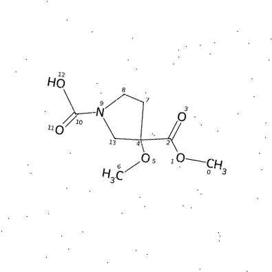 COC(=O)C1(OC)CCN(C(=O)O)C1